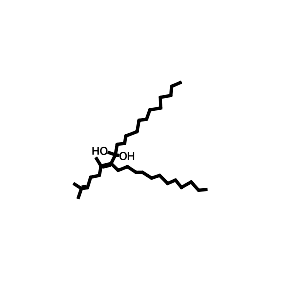 CCCCCCCCCCCCC(=C(C)CCC=C(C)C)C(O)(O)CCCCCCCCCCCC